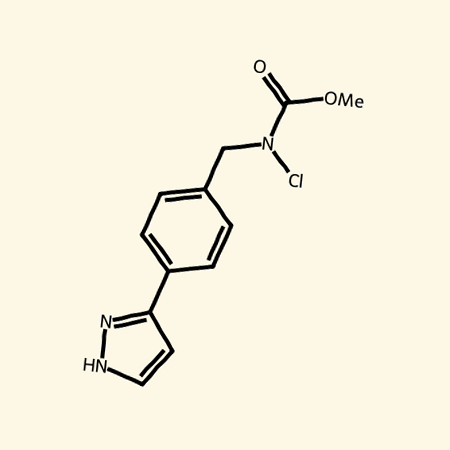 COC(=O)N(Cl)Cc1ccc(-c2cc[nH]n2)cc1